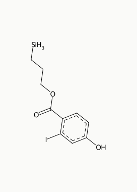 O=C(OCCC[SiH3])c1ccc(O)cc1I